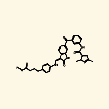 Cc1cc(C(=O)Nc2cccc(C(=O)c3ccc4c(c3)NC(=O)/C4=C\Nc3ccc(CCCC(=O)OC(C)C)cc3)c2)n(C)n1